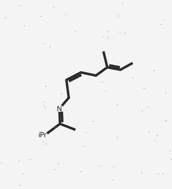 C/C=C(\C)C/C=C\C/N=C(\C)C(C)C